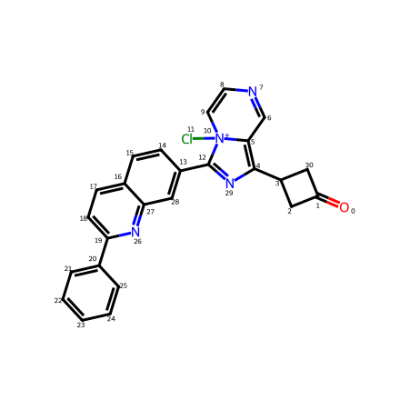 O=C1CC(C2=C3C=NC=C[N+]3(Cl)C(c3ccc4ccc(-c5ccccc5)nc4c3)=N2)C1